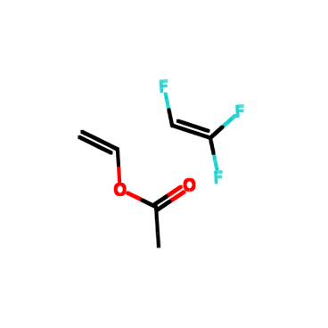 C=COC(C)=O.FC=C(F)F